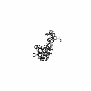 CCN(C(=O)OC(C)OC(=O)c1ccc(NC(=O)[C@@H]2NC(CC(C)(C)C)[C@](C#N)(c3ccc(Cl)cc3F)C2C2C#CC(Cl)=CC=C2)c(OC)c1)C(C)C